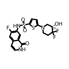 O=c1[nH]ccc2cc(F)c(NS(=O)(=O)c3ccc(N4CCC(F)(F)[C@@H](O)C4)s3)cc12